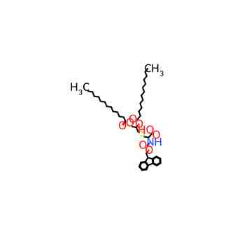 CCCCCCCCCCCCCC(=O)OCC(CSCC(NC(=O)OCC1c2ccccc2-c2ccccc21)C(=O)O)OC(=O)CCCCCCCCCCCCC